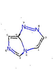 [c]1cn2cncc2nn1